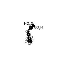 O=C(OCc1ccc(C23C([C@H]2C(=O)O)[C@H]3C(=O)O)cc1)c1ccc(N2C(=O)c3c(Cl)c(Cl)c(Cl)c(Cl)c3C2=O)cc1